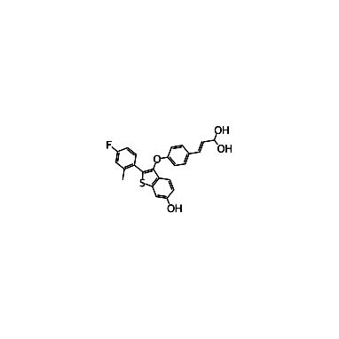 Cc1cc(F)ccc1-c1sc2cc(O)ccc2c1Oc1ccc(/C=C/C(O)O)cc1